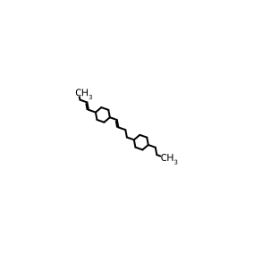 CCC=CC1CCC(C=CCCC2CCC(CCC)CC2)CC1